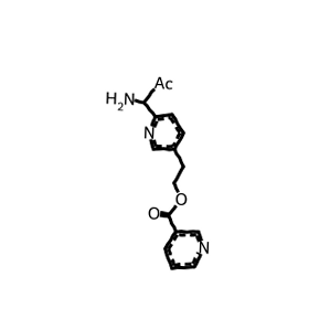 CC(=O)C(N)c1ccc(CCOC(=O)c2cccnc2)cn1